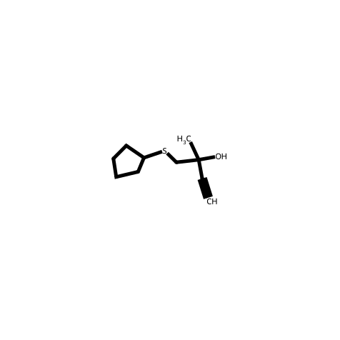 C#CC(C)(O)CSC1CCCC1